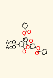 CC(=O)OC(OC(C)=O)c1ccc2c(c1)C(=O)OC21c2ccc(OC(=O)c3ccccc3)cc2Oc2cc(OC(=O)c3ccccc3)ccc21